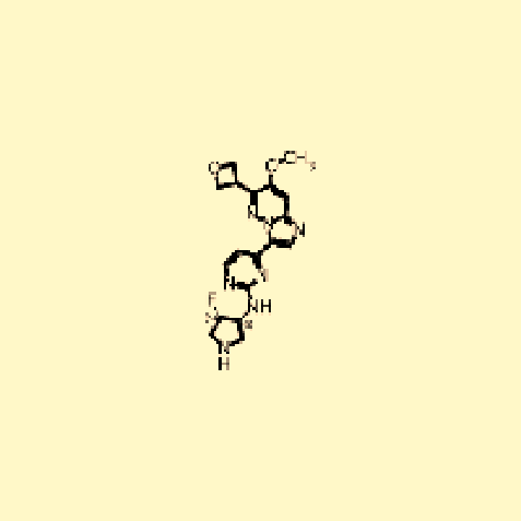 COc1cc2ncc(-c3ccnc(N[C@H]4CNC[C@@H]4F)n3)n2nc1C1COC1